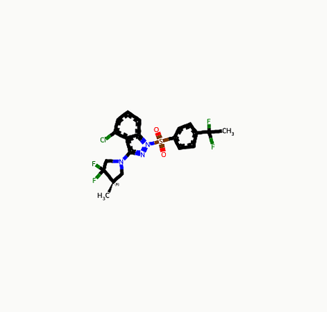 C[C@@H]1CN(c2nn(S(=O)(=O)c3ccc(C(C)(F)F)cc3)c3cccc(Cl)c23)CC1(F)F